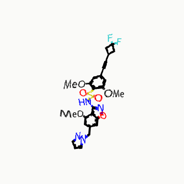 COc1cc(C#CC2CC(F)(F)C2)cc(OC)c1S(=O)(=O)Nc1noc2cc(Cn3cccn3)cc(OC)c12